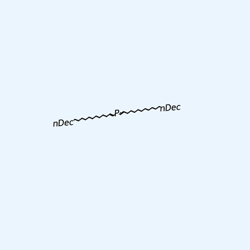 CCCCCCCCCCCCCCCCCCCC/C=C/[P]/C=C/CCCCCCCCCCCCCCCCCCCC